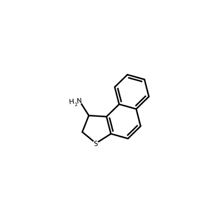 NC1CSc2ccc3ccccc3c21